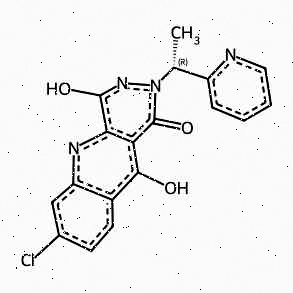 C[C@H](c1ccccn1)n1nc(O)c2nc3cc(Cl)ccc3c(O)c2c1=O